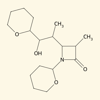 CC1C(=O)N(C2CCCCO2)C1C(C)C(O)C1CCCCO1